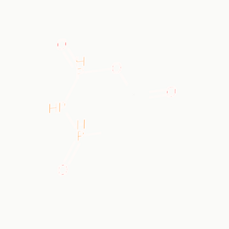 O=C1C[PH](=O)P[PH](=O)O1